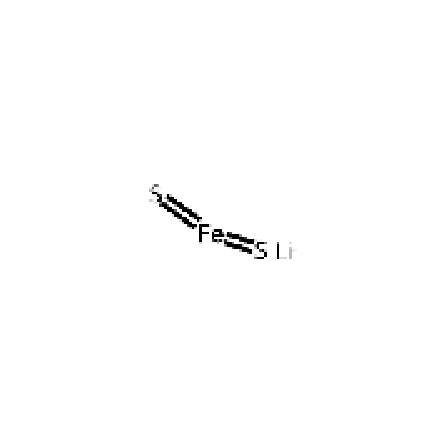 [Li].[S]=[Fe]=[S]